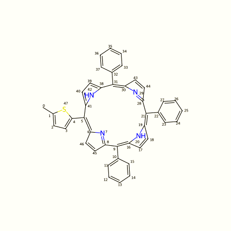 Cc1ccc(-c2c3nc(c(-c4ccccc4)c4ccc([nH]4)c(-c4ccccc4)c4nc(c(-c5ccccc5)c5ccc2[nH]5)C=C4)C=C3)s1